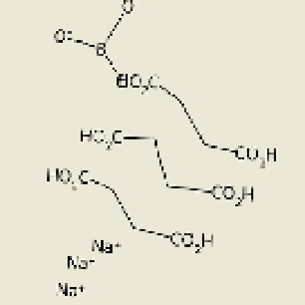 O=C(O)CCC(=O)O.O=C(O)CCC(=O)O.O=C(O)CCC(=O)O.[Na+].[Na+].[Na+].[O-]B([O-])[O-]